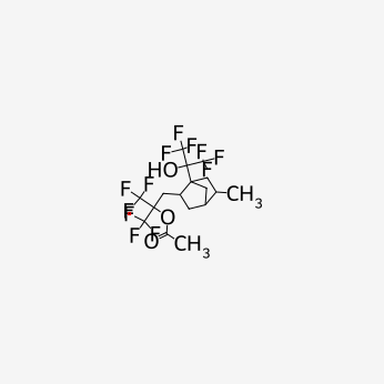 CC(=O)OC(CC1CC2CC1(C(O)(C(F)(F)F)C(F)(F)F)CC2C)(C(F)(F)F)C(F)(F)F